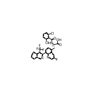 O=C(N[C@@H](Cc1ccc(-c2ncc3ccccc3c2C(F)(F)F)c2ncc(F)cc12)C(=O)O)c1c(Cl)cccc1Cl